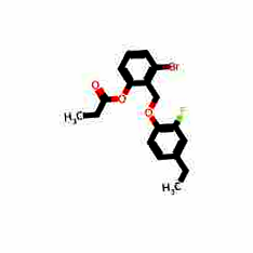 CCC(=O)Oc1cccc(Br)c1COc1ccc(CC)cc1F